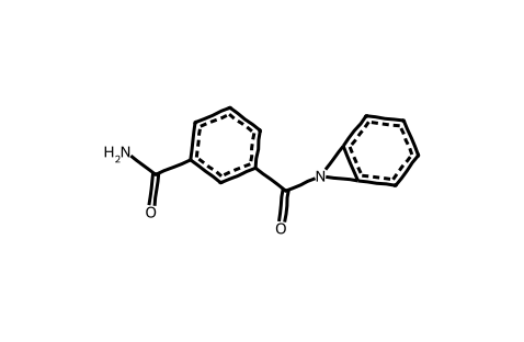 NC(=O)c1cccc(C(=O)N2c3ccccc32)c1